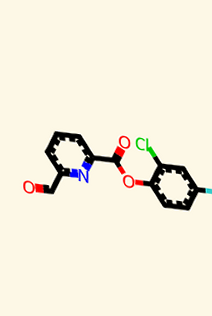 O=Cc1cccc(C(=O)Oc2ccc(F)cc2Cl)n1